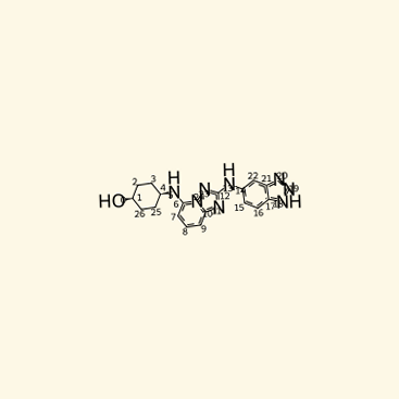 O[C@H]1CC[C@@H](Nc2cccc3nc(Nc4ccc5[nH]nnc5c4)nn23)CC1